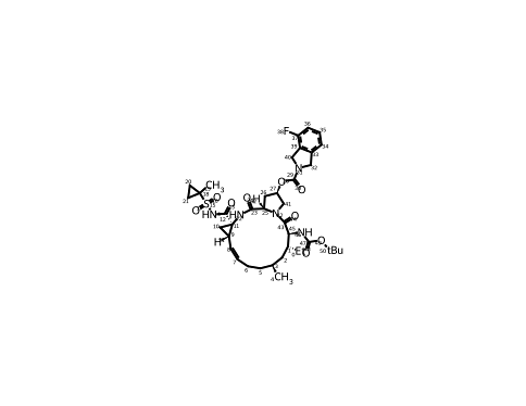 CC[C@@H]1C[C@@H](C)CCC=C[C@@H]2C[C@@]2(C(=O)NS(=O)(=O)C2(C)CC2)NC(=O)[C@@H]2C[C@@H](OC(=O)N3Cc4cccc(F)c4C3)CN2C(=O)[C@H]1NC(=O)OC(C)(C)C